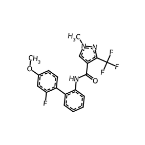 COc1ccc(-c2ccccc2NC(=O)c2cn(C)nc2C(F)(F)F)c(F)c1